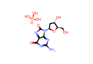 NC1=NC(=O)C2=NC(=O)N([C@H]3C[C@H](O)[C@@H](CO)O3)C2=N1.O=P(O)(O)O